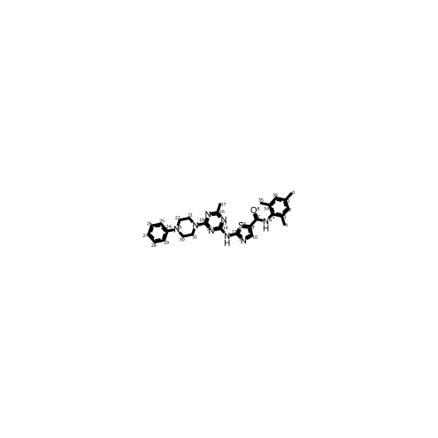 Cc1cc(C)c(NC(=O)c2cnc(Nc3nc(C)nc(N4CCN(c5ccccc5)CC4)n3)s2)c(C)c1